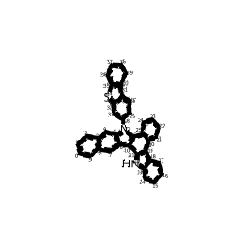 c1ccc2cc3c(cc2c1)c1c2[nH]c4ccccc4c2c2ccccc2c1n3-c1ccc2c(c1)sc1ccccc12